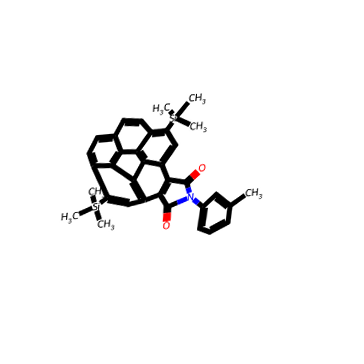 Cc1cccc(-n2c(=O)c3c4cc([Si](C)(C)C)c5ccc6ccc7c([Si](C)(C)C)cc(c3c2=O)c2c7c6c5c42)c1